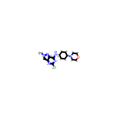 CCn1cc2nc(Cl)nc(N[C@H]3CC[C@H](N4CCOCC4)CC3)c2n1